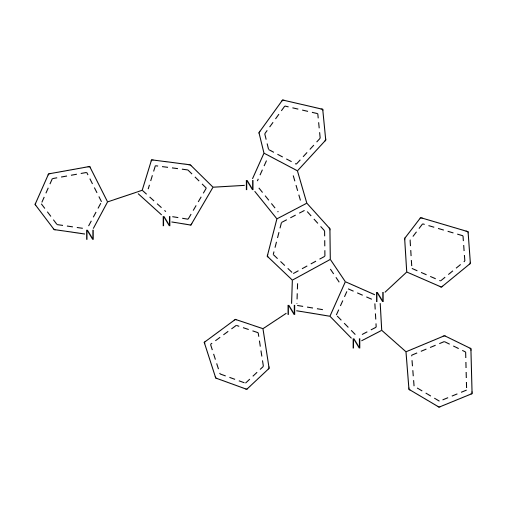 c1ccc(-c2nc3c(c4cc5c6ccccc6n(-c6ccc(-c7ccccn7)nc6)c5cc4n3-c3ccccc3)n2-c2ccccc2)cc1